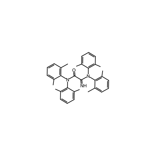 Cc1cccc(C)c1N(C(=N)C(=O)N(c1c(C)cccc1C)c1c(C)cccc1C)c1c(C)cccc1C